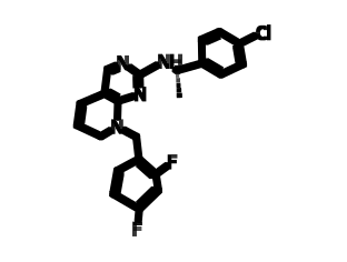 C[C@H](Nc1ncc2c(n1)N(Cc1ccc(F)cc1F)CC=C2)c1ccc(Cl)cc1